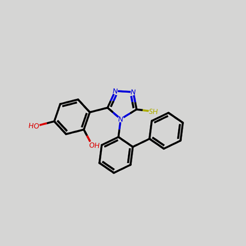 Oc1ccc(-c2nnc(S)n2-c2ccccc2-c2ccccc2)c(O)c1